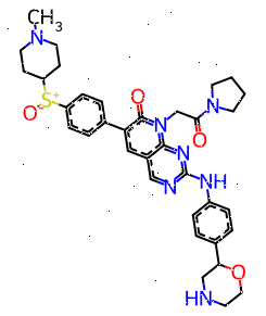 CN1CCC([S+]([O-])c2ccc(-c3cc4cnc(Nc5ccc(C6CNCCO6)cc5)nc4n(CC(=O)N4CCCC4)c3=O)cc2)CC1